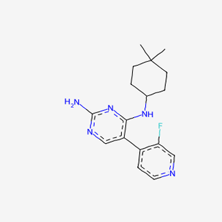 CC1(C)CCC(Nc2nc(N)ncc2-c2ccncc2F)CC1